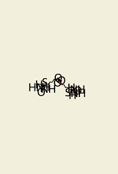 O=C1N[C@H]2[C@H](CS[C@H]2CCCCC(=O)OC(=O)CCCC[C@@H]2SC[C@@H]3NC(=O)N[C@@H]32)N1